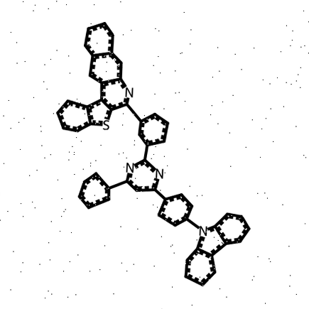 c1ccc(-c2cc(-c3ccc(-n4c5ccccc5c5ccccc54)cc3)nc(-c3cccc(-c4nc5cc6ccccc6cc5c5c4sc4ccccc45)c3)n2)cc1